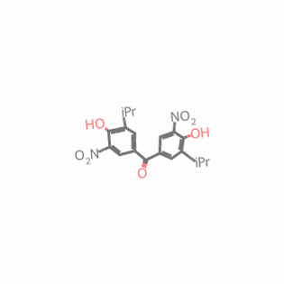 CC(C)c1cc(C(=O)c2cc(C(C)C)c(O)c([N+](=O)[O-])c2)cc([N+](=O)[O-])c1O